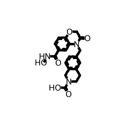 O=C(NO)c1ccc2c(c1)N(Cc1ccc3c(c1)CCN(C(=O)O)C3)C(=O)CO2